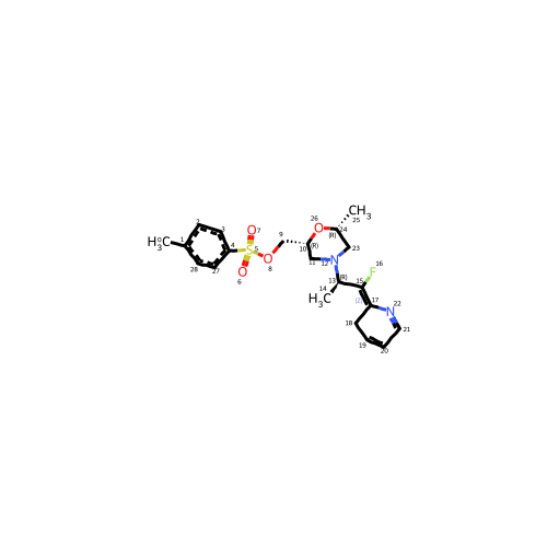 Cc1ccc(S(=O)(=O)OC[C@H]2CN([C@H](C)/C(F)=C3\CC=CC=N3)C[C@@H](C)O2)cc1